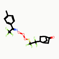 Cc1ccc(/C(=N/OOOSC(F)(F)C(F)(F)C2CC3CC2CC3=O)C(F)(F)F)cc1